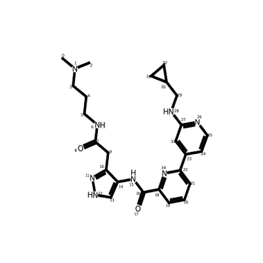 CN(C)CCCNC(=O)Cc1n[nH]cc1NC(=O)c1cccc(-c2ccnc(NCC3CC3)c2)n1